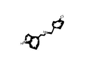 Clc1ccc(CNCCc2cccc3[nH]ccc23)cc1